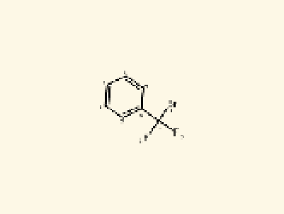 FC(F)(Br)c1ccccc1